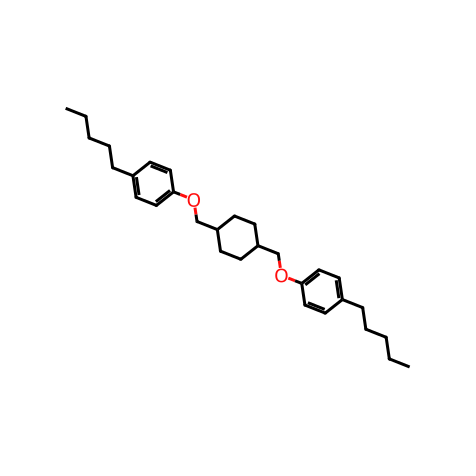 CCCCCc1ccc(OCC2CCC(COc3ccc(CCCCC)cc3)CC2)cc1